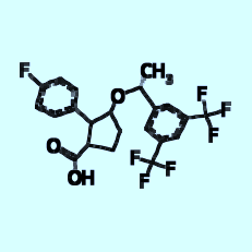 C[C@@H](OC1CCC(C(=O)O)C1c1ccc(F)cc1)c1cc(C(F)(F)F)cc(C(F)(F)F)c1